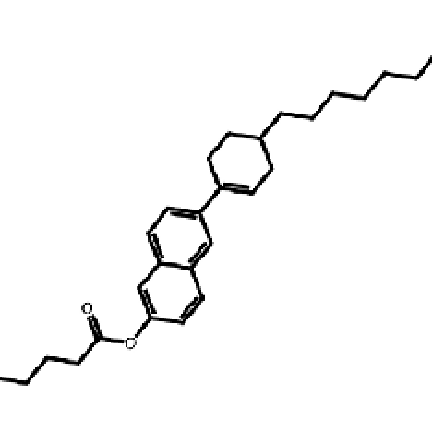 CCCCCCCC1CC=C(c2ccc3cc(OC(=O)CCCC)ccc3c2)CC1